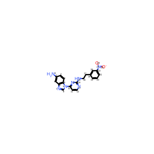 Nc1ccc2c(c1)ncn2-c1ccnc(NCCc2cccc([N+](=O)[O-])c2)n1